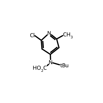 Cc1cc(N(C(=O)O)C(C)(C)C)cc(Cl)n1